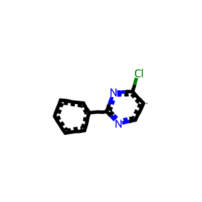 Clc1[c]cnc(-c2ccccc2)n1